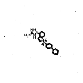 N=C(N)N/N=C1/CCCc2c1ccn2S(=O)(=O)c1ccc(-c2ccccc2)cc1